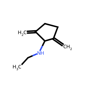 C=C1CCC(=C)C1NCC